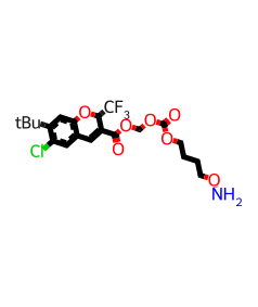 CC(C)(C)c1cc2c(cc1Cl)C=C(C(=O)OCOC(=O)OCCCCON)C(C(F)(F)F)O2